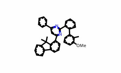 COc1cccc(-c2ccccc2-c2nc(-c3ccccc3)cc(-c3cccc4c3C(C)(C)c3ccccc3-4)n2)c1C